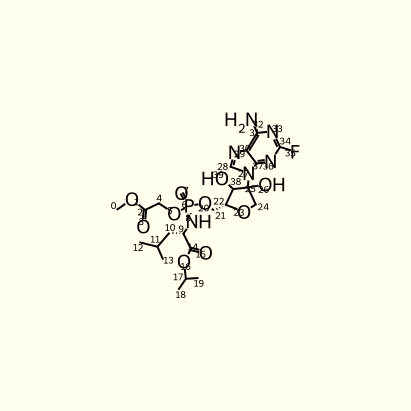 COC(=O)COP(=O)(N[C@@H](CC(C)C)C(=O)OC(C)C)OC[C@H]1OCC(O)(n2cnc3c(N)nc(F)nc32)C1O